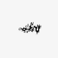 NCc1c(-c2ccc(Cl)cc2Cl)ncn1Cc1ccccn1